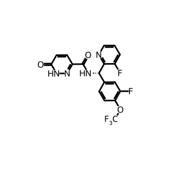 O=C(N[C@@H](c1ccc(OC(F)(F)F)c(F)c1)c1ncccc1F)c1ccc(=O)[nH]n1